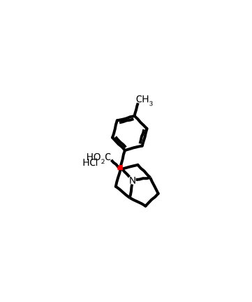 Cc1ccc(CN2C3CCC2CC(C(=O)O)C3)cc1.Cl